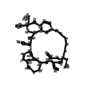 CCC12CCCCOc3ccc4c(c3)C(CC(C)(C)O4)NC(=O)c3ccc4c(c3)C(CCO4)N(C(=N)N1)C(=O)C2